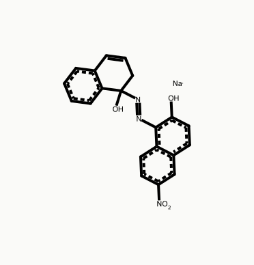 O=[N+]([O-])c1ccc2c(N=NC3(O)CC=Cc4ccccc43)c(O)ccc2c1.[Na]